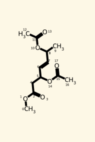 COC(=O)CC(C=CC(C)OC(C)=O)OC(C)=O